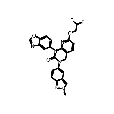 Cn1cc2cc(N3Cc4ccc(OCC(F)F)nc4N(c4ccc5ocnc5c4)C3=O)ccc2n1